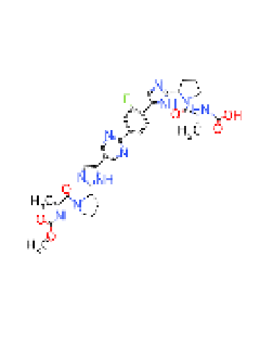 COC(=O)N[C@@H](C)C(=O)N1CCC[C@H]1c1ncc(-c2cnc(-c3ccc(-c4cnc([C@@H]5CCCN5C(=O)[C@H](C)NC(=O)O)[nH]4)c(F)c3)nc2)[nH]1